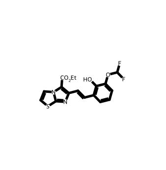 CCOC(=O)c1c(/C=C/c2cccc(OC(F)F)c2O)nc2sccn12